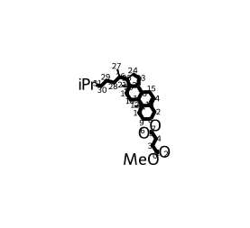 COC(=O)CCC(=O)OC1CC[C@@]2(C)C(=CCC3C2CC[C@@]2(C)C3CC[C@@H]2[C@H](C)CCCC(C)C)C1